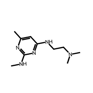 CNc1nc(C)cc(NCCN(C)C)n1